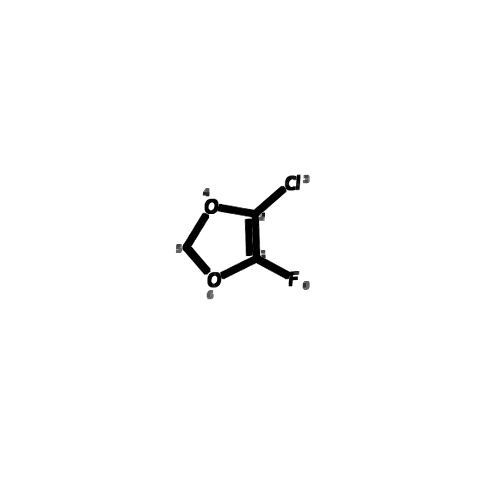 FC1=C(Cl)OCO1